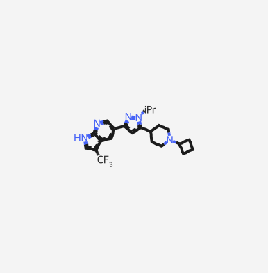 CC(C)n1nc(-c2cnc3[nH]cc(C(F)(F)F)c3c2)cc1C1CCN(C2CCC2)CC1